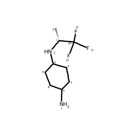 C[C@@H](NC1CCC(N)CC1)C(F)(F)F